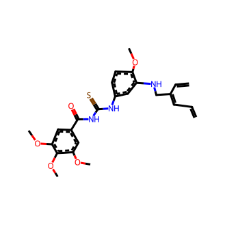 C=C/C=C(\C=C)CNc1cc(NC(=S)NC(=O)c2cc(OC)c(OC)c(OC)c2)ccc1OC